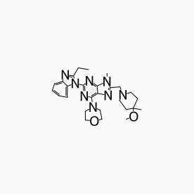 CCc1nc2ccccc2n1-c1nc(N2CCOCC2)c2nc(CN3CCC(C)(OC)CC3)n(C)c2n1